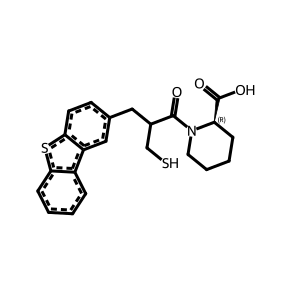 O=C(O)[C@H]1CCCCN1C(=O)C(CS)Cc1ccc2sc3ccccc3c2c1